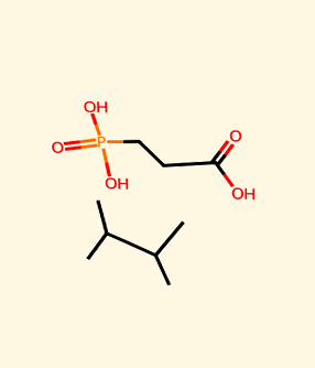 CC(C)C(C)C.O=C(O)CCP(=O)(O)O